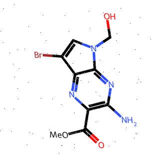 COC(=O)c1nc2c(Br)cn(CO)c2nc1N